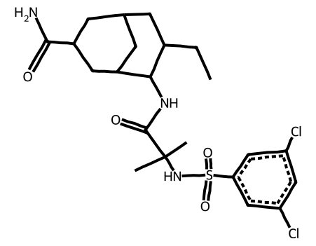 CCC1CC2CC(C(N)=O)CC(C2)C1NC(=O)C(C)(C)NS(=O)(=O)c1cc(Cl)cc(Cl)c1